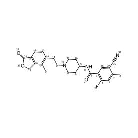 Cc1cc(F)c(C(=O)NC2CCN(CCc3ccc4c(c3C)COC4=O)CC2)cc1C#N